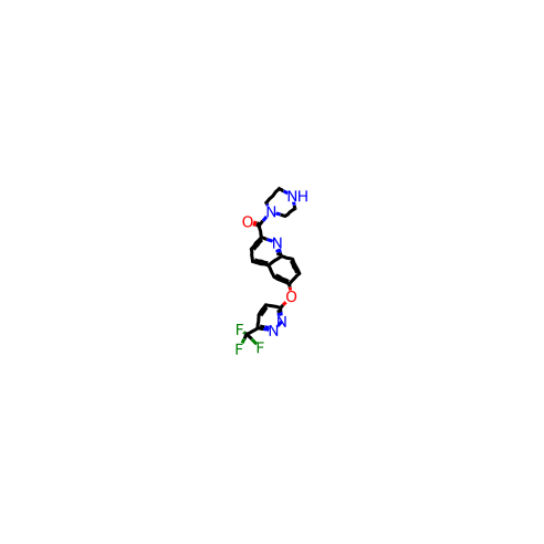 O=C(c1ccc2cc(Oc3ccc(C(F)(F)F)nn3)ccc2n1)N1CCNCC1